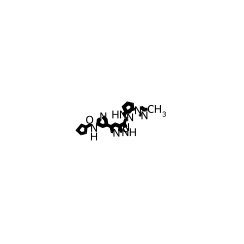 Cc1cn(-c2cccc3[nH]c(-c4n[nH]c5ncc(-c6cncc(NC(=O)C7CCCC7)c6)cc45)nc23)cn1